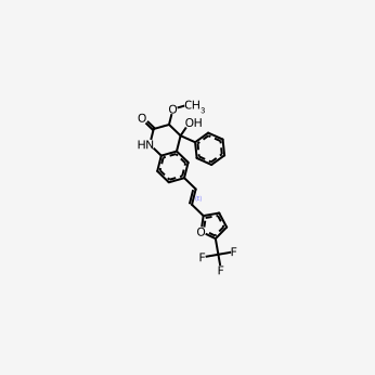 COC1C(=O)Nc2ccc(/C=C/c3ccc(C(F)(F)F)o3)cc2C1(O)c1ccccc1